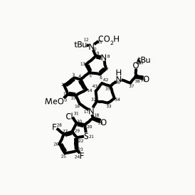 COc1ccc(-c2ccnc(N(C(=O)O)C(C)(C)C)c2)cc1CN(C(=O)c1sc2c(F)ccc(F)c2c1Cl)C1CCC(NCC(=O)OC(C)(C)C)CC1